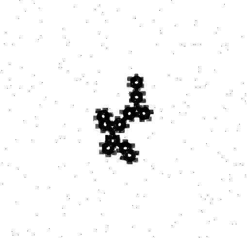 c1ccc(-c2ccc(-n3c4ccccc4c4cc(-c5ccc6c(c5)c5c7ccccc7ccc5n6-c5nc(-c6ccc7ccccc7c6)c6ccccc6n5)ccc43)cc2)cc1